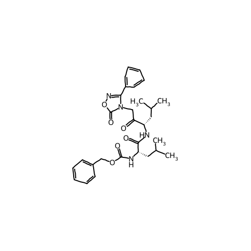 CC(C)C[C@H](NC(=O)[C@H](CC(C)C)NC(=O)OCc1ccccc1)C(=O)Cn1c(-c2ccccc2)noc1=O